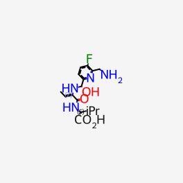 C/C=C(\NC(O)c1ccc(F)c(CN)n1)C(=O)N[C@H](C(=O)O)C(C)C